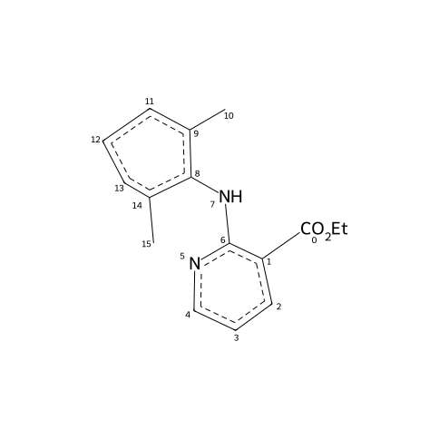 CCOC(=O)c1cccnc1Nc1c(C)cccc1C